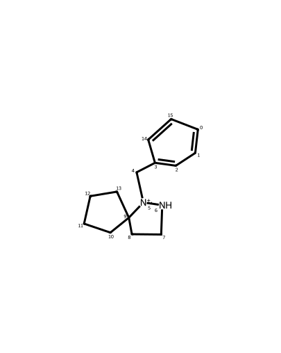 c1ccc(C[N+]2NCCC23CCCC3)cc1